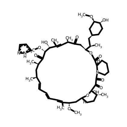 CO[C@H]1C[C@@H]2CC[C@@H](C)[C@@](O)(O2)C(=O)C(=O)N2CCCC[C@H]2C(=O)O[C@H]([C@H](C)C[C@@H]2CC[C@@H](O)[C@H](OC)C2)CC(=O)[C@H](C)/C=C(\C)[C@@H](O)[C@@H](OC)C(=O)[C@H](C)C[C@H](C)/C=C/C=C/C=C/1C.c1cn[nH]c1